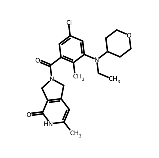 CCN(c1cc(Cl)cc(C(=O)N2Cc3cc(C)[nH]c(=O)c3C2)c1C)C1CCOCC1